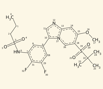 CCCS(=O)(=O)Nc1cc(-c2cnc3cc(OC)c(S(=O)(=O)C(C)(C)C)cn23)cc(F)c1F